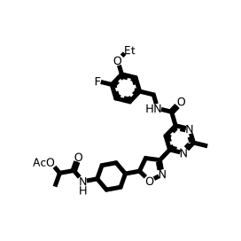 CCOc1cc(CNC(=O)c2cc(C3=NOC(C4CCC(NC(=O)C(C)OC(C)=O)CC4)C3)nc(C)n2)ccc1F